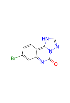 O=c1nc2cc(Br)ccc2c2[nH]cnn12